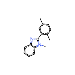 Cc1ccc(C)c(-c2nc3ccccc3n2C)c1